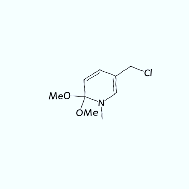 COC1(OC)C=CC(CCl)=CN1C